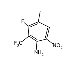 Cc1cc([N+](=O)[O-])c(N)c(C(F)(F)F)c1F